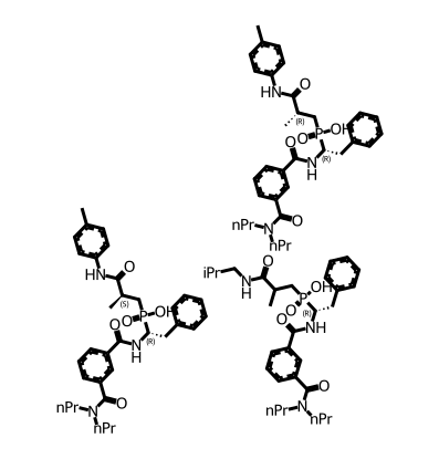 CCCN(CCC)C(=O)c1cccc(C(=O)N[C@@H](Cc2ccccc2)P(=O)(O)CC(C)C(=O)NCC(C)C)c1.CCCN(CCC)C(=O)c1cccc(C(=O)N[C@@H](Cc2ccccc2)P(=O)(O)C[C@@H](C)C(=O)Nc2ccc(C)cc2)c1.CCCN(CCC)C(=O)c1cccc(C(=O)N[C@@H](Cc2ccccc2)P(=O)(O)C[C@H](C)C(=O)Nc2ccc(C)cc2)c1